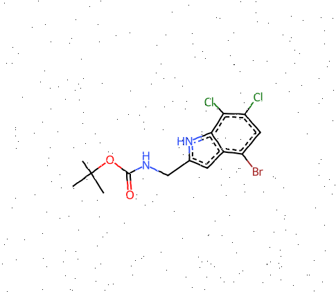 CC(C)(C)OC(=O)NCc1cc2c(Br)cc(Cl)c(Cl)c2[nH]1